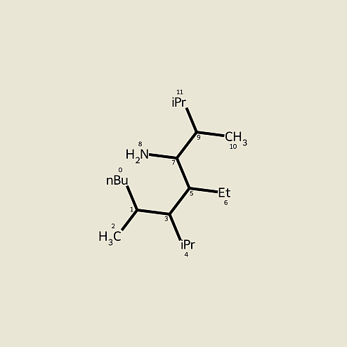 CCCCC(C)C(C(C)C)C(CC)C(N)C(C)C(C)C